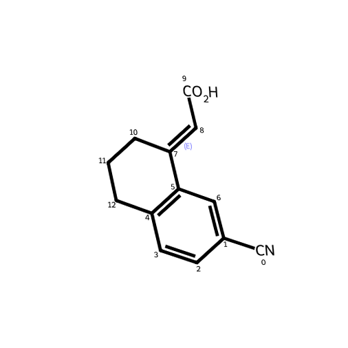 N#Cc1ccc2c(c1)/C(=C/C(=O)O)CCC2